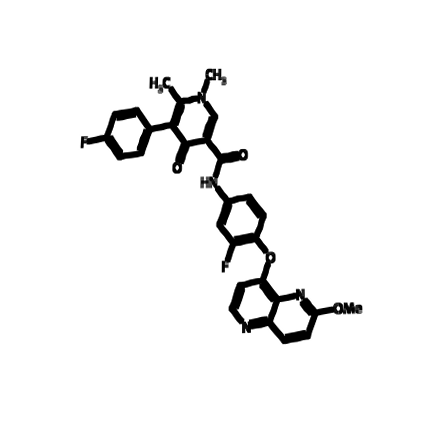 COc1ccc2nccc(Oc3ccc(NC(=O)c4cn(C)c(C)c(-c5ccc(F)cc5)c4=O)cc3F)c2n1